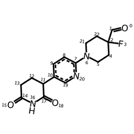 O=CC1(F)CCN(c2ccc(C3CCC(=O)NC3=O)cn2)CC1